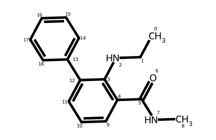 CCNc1c(C(=O)NC)cccc1-c1ccccc1